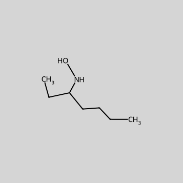 CCCCC(CC)NO